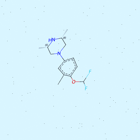 Cc1cc(N2C[C@@H](C)N[C@@H](C)C2)ccc1OC(F)F